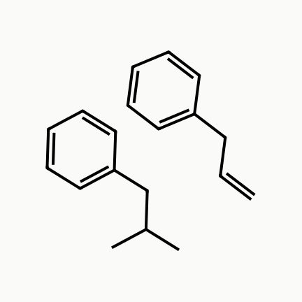 C=CCc1ccccc1.CC(C)Cc1ccccc1